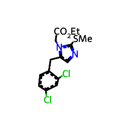 CCOC(=O)Cn1c(Cc2ccc(Cl)cc2Cl)cnc1SC